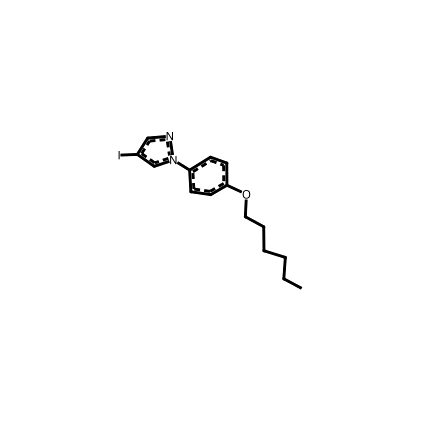 CCCCCCOc1ccc(-n2cc(I)cn2)cc1